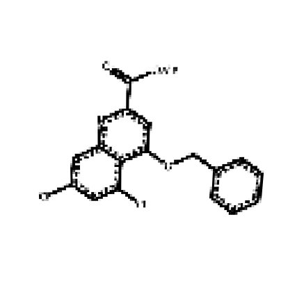 COC(=O)c1cc(OCc2ccccc2)c2c(Cl)cc(Cl)cc2n1